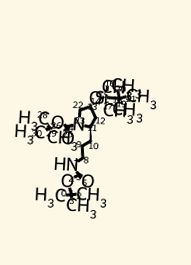 CC(C)(C)OC(=O)NCCC[C@@H]1C[C@@H](O[Si](C)(C)C(C)(C)C)CN1C(=O)OC(C)(C)C